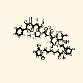 CC[C@H](C)[C@@H]([C@@H](CC(=O)N1CCC[C@H]1[C@H](OC)[C@@H](C)C(=O)N[C@H](C)[C@@H](O)c1ccccc1)OC)N(C)C(=O)[C@@H](NC(=O)C1C2CC[C@@H](C2)N1C(=O)CCCCCN1C(=O)C=CC1=O)C(C)C